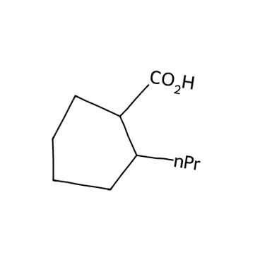 [CH2]CCC1CCCCC1C(=O)O